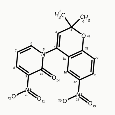 CC1(C)C=C(n2cccc([N+](=O)[O-])c2=O)c2cc([N+](=O)[O-])ccc2O1